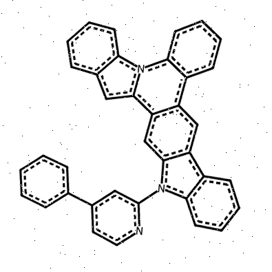 c1ccc(-c2ccnc(-n3c4ccccc4c4cc5c6ccccc6n6c7ccccc7cc6c5cc43)c2)cc1